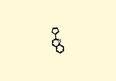 C1=CCC(c2ccc3ccccc3n2)=C1